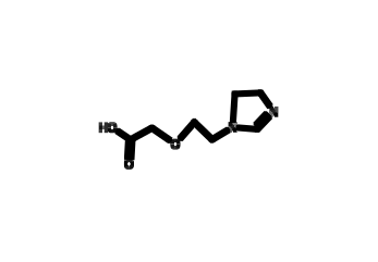 O=C(O)COCCN1C=NCC1